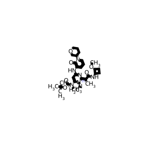 C=NN1C(N(C)C(=O)OC(C)(C)C)=CC(Nc2cccn([C@@H]3CCCOC3)c2=O)=N/C1=C(/C)C(=O)N[C@@H]1CC[C@H]1OC